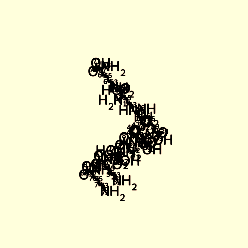 CC(C)CC(N)C(=O)O.N=C(N)NCCCC(N)C(=O)O.NC(CO)C(=O)O.NC(Cc1ccccc1)C(=O)O.NC(Cc1ccccc1)C(=O)O.NCCCCC(N)C(=O)O.NCCCCC(N)C(=O)O.NCCCCC(N)C(=O)O